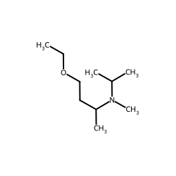 CCOCCC(C)N(C)C(C)C